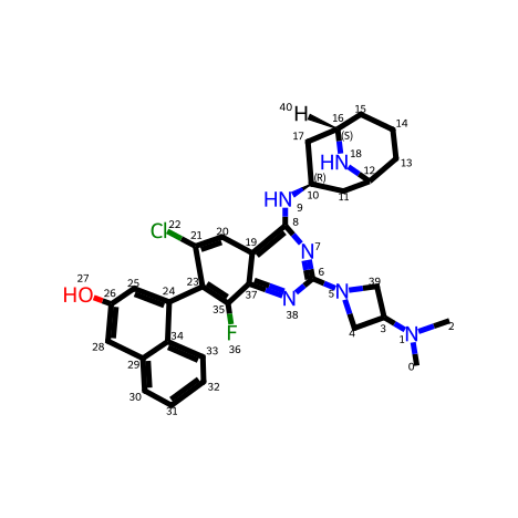 CN(C)C1CN(c2nc(N[C@@H]3CC4CCC[C@@H](C3)N4)c3cc(Cl)c(-c4cc(O)cc5ccccc45)c(F)c3n2)C1